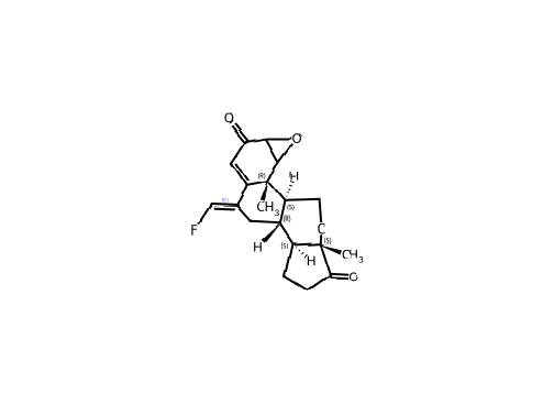 C[C@]12CC[C@H]3[C@@H](C/C(=C\F)C4=CC(=O)C5OC5[C@@]43C)[C@@H]1CCC2=O